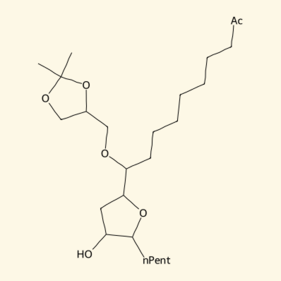 CCCCCC1OC(C(CCCCCCCC(C)=O)OCC2COC(C)(C)O2)CC1O